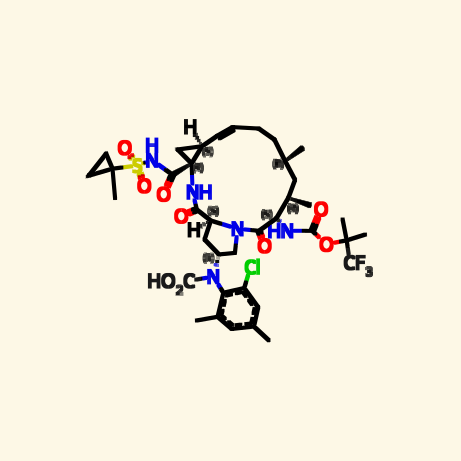 Cc1cc(C)c(N(C(=O)O)[C@@H]2C[C@H]3C(=O)N[C@]4(C(=O)NS(=O)(=O)C5(C)CC5)C[C@H]4C=CCC[C@@H](C)C[C@@H](C)[C@H](NC(=O)OC(C)(C)C(F)(F)F)C(=O)N3C2)c(Cl)c1